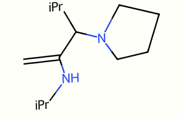 C=C(NC(C)C)C(C(C)C)N1CCCC1